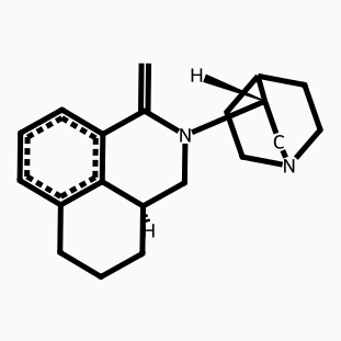 C=C1c2cccc3c2[C@H](CCC3)CN1[C@H]1CN2CCC1CC2